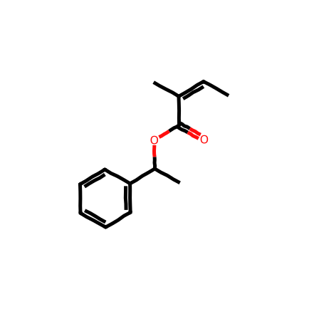 C/C=C(/C)C(=O)OC(C)c1ccccc1